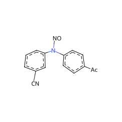 CC(=O)c1ccc(N(N=O)c2cccc(C#N)c2)cc1